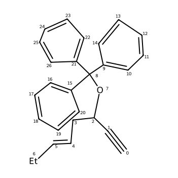 C#CC(CC=CCC)OC(c1ccccc1)(c1ccccc1)c1ccccc1